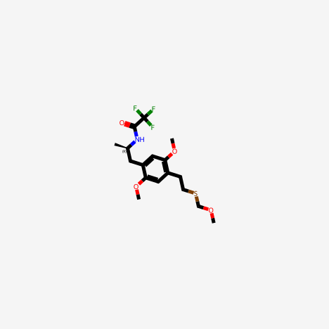 COCSCCc1cc(OC)c(C[C@@H](C)NC(=O)C(F)(F)F)cc1OC